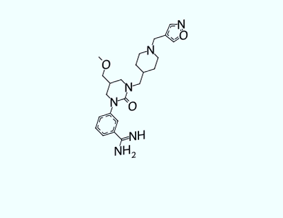 COCC1CN(CC2CCN(Cc3cnoc3)CC2)C(=O)N(c2cccc(C(=N)N)c2)C1